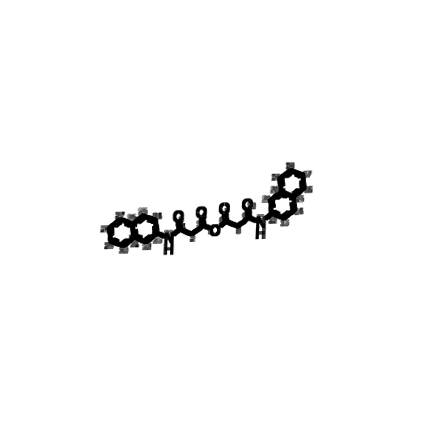 O=C(CC(=O)OC(=O)CC(=O)Nc1ccc2ccccc2c1)Nc1ccc2ccccc2c1